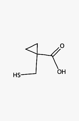 O=C(O)C1(CS)CC1